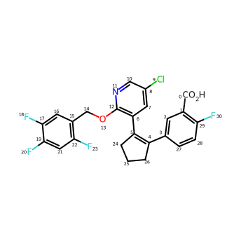 O=C(O)c1cc(C2=C(c3cc(Cl)cnc3OCc3cc(F)c(F)cc3F)CCC2)ccc1F